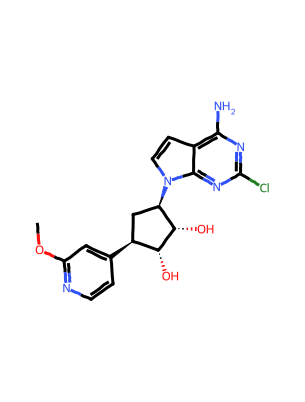 COc1cc([C@H]2C[C@@H](n3ccc4c(N)nc(Cl)nc43)[C@H](O)[C@@H]2O)ccn1